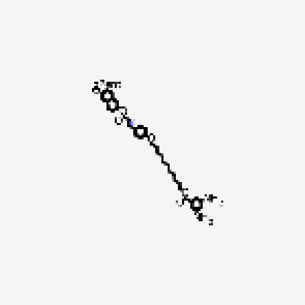 CCCCCOc1ccc2cc(OC(=O)/C=C/c3ccc(OCCCCCCCCCCCOC(=O)c4cc(N)cc(N)c4)cc3)ccc2c1